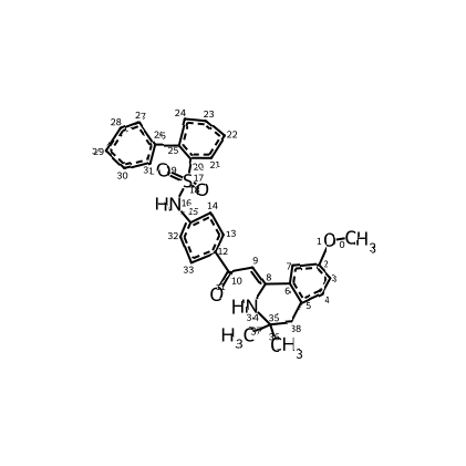 COc1ccc2c(c1)C(=CC(=O)c1ccc(NS(=O)(=O)c3ccccc3-c3ccccc3)cc1)NC(C)(C)C2